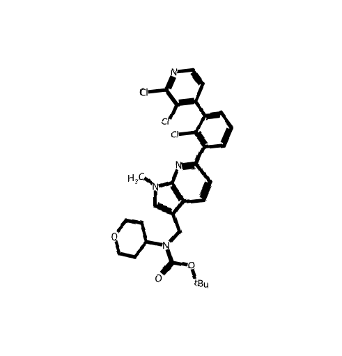 Cn1cc(CN(C(=O)OC(C)(C)C)C2CCOCC2)c2ccc(-c3cccc(-c4ccnc(Cl)c4Cl)c3Cl)nc21